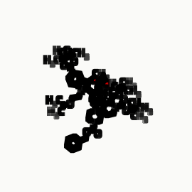 CO[C@@H](C)c1ncc(N2CCN(C(=O)OCc3ccccc3)CC2)cc1-c1c(CC2(COC(=O)[C@H]3CCCN(C(=O)OC(C)(C)C)N3C(=O)OC(C)(C)C)CC2)c2cc(B3OC(C)(C)C(C)(C)O3)ccc2n1CCOC(C)C